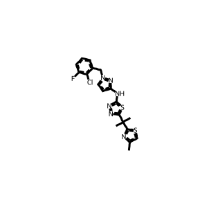 Cc1csc(C(C)(C)c2nnc(Nc3ccn(Cc4cccc(F)c4Cl)n3)s2)n1